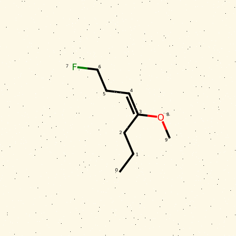 CCC/C(=C\CCF)OC